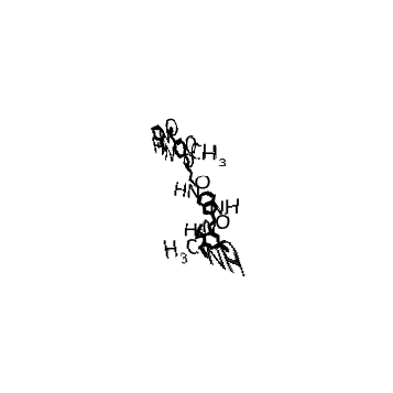 COc1cc2c(cc1OCCCC(=O)Nc1ccc3[nH]c(C(=O)N4C[C@H]5CC56C4=CC(=O)c4[nH]cc(C)c46)cc3c1)N=C[C@@H]1CCCN1C2=O